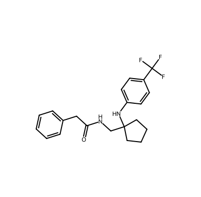 O=C(Cc1ccccc1)NCC1(Nc2ccc(C(F)(F)F)cc2)CCCC1